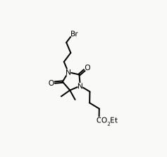 CCOC(=O)CCCN1C(=O)N(CCCBr)C(=O)C1(C)C